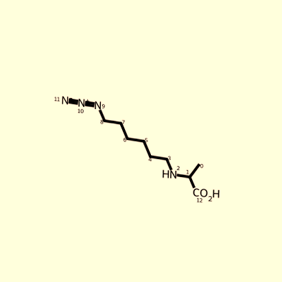 CC(NCCCCCCN=[N+]=[N-])C(=O)O